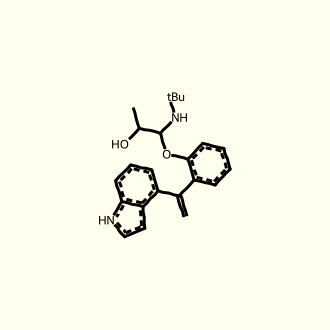 C=C(c1ccccc1OC(NC(C)(C)C)C(C)O)c1cccc2[nH]ccc12